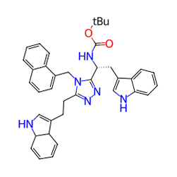 CC(C)(C)OC(=O)N[C@H](Cc1c[nH]c2ccccc12)c1nnc(CCC2=CNC3C=CC=CC23)n1Cc1cccc2ccccc12